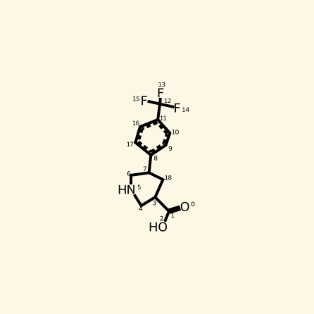 O=C(O)C1CNCC(c2ccc(C(F)(F)F)cc2)C1